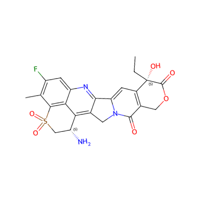 CC[C@@]1(O)C(=O)OCc2c1cc1n(c2=O)Cc2c-1nc1cc(F)c(C)c3c1c2[C@H](N)CS3(=O)=O